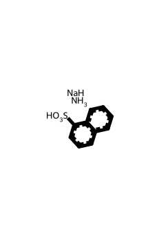 N.O=S(=O)(O)c1cccc2ccccc12.[NaH]